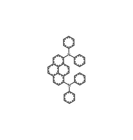 c1ccc(N(c2ccccc2)c2ccc3ccc4ccc(N(c5ccccc5)c5ccccc5)c5ccc2c3c45)cc1